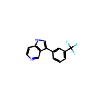 FC(F)(F)c1cccc(-c2c[nH]c3ccncc23)c1